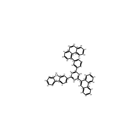 c1cc(-c2nc(-c3ccc4c(c3)oc3ccccc34)nc(-c3cc4ccccc4c4ccccc34)n2)cc(-c2cccc3ccc4ccccc4c23)c1